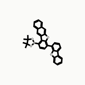 CC1(C)OB(c2ccc(-c3cccc4c3oc3ccccc34)c3oc4cc5ccccc5cc4c23)OC1(C)C